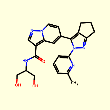 Cc1cccc(-n2nc3c(c2-c2ccn4ncc(C(=O)NC(CO)CO)c4c2)CCC3)n1